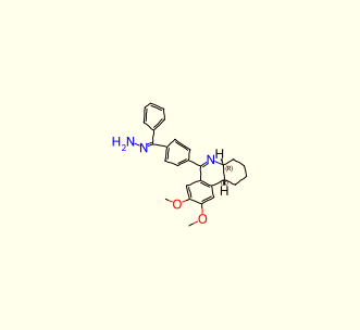 COc1cc2c(cc1OC)[C@H]1CCCC[C@H]1N=C2c1ccc(C(=NN)c2ccccc2)cc1